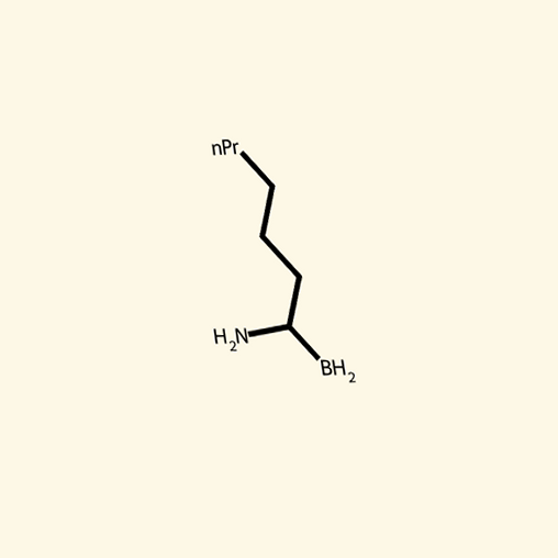 BC(N)CCCCCC